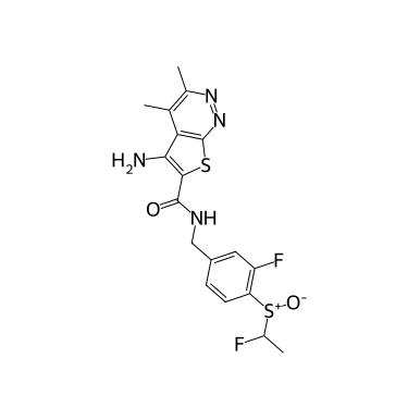 Cc1nnc2sc(C(=O)NCc3ccc([S+]([O-])C(C)F)c(F)c3)c(N)c2c1C